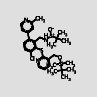 Cc1cc(-c2ccc(Cl)c(Sc3ncccc3CO[Si](C)(C)C(C)(C)C)c2CN[S+]([O-])C(C)(C)C)ccn1